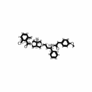 COc1ccc(CC(=O)NC(CCN2CC3CN(C(=O)c4c(F)cccc4Cl)C[C@@H]3C2)c2ccccc2)cc1